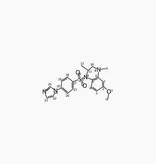 COc1ccc2c(c1)N(C)CC(C)N2S(=O)(=O)c1ccc(-n2ccnc2)cc1